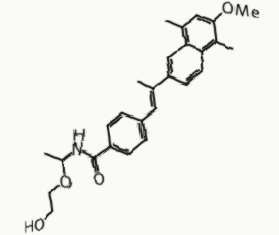 COc1cc(C)c2cc(C(C)=Cc3ccc(C(=O)NC(C)OCCO)cc3)ccc2c1C